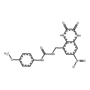 COc1ccc(NC(=O)NCc2cc([N+](=O)[O-])cc3[nH]c(=O)c(=O)[nH]c23)cc1